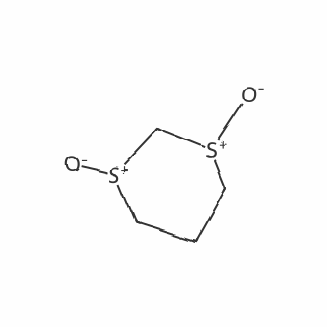 [O-][S+]1CCC[S+]([O-])C1